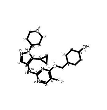 OC1CCC(COc2nc(Nc3cnn(C4CCOCC4)c3C3CC3)ncc2F)CC1